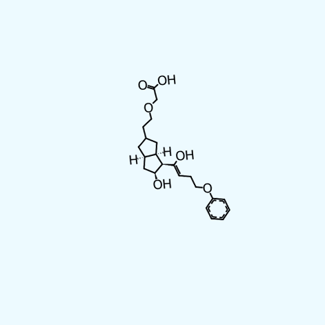 O=C(O)COCCC1C[C@@H]2C[C@H](O)[C@H](C(O)=CCCOc3ccccc3)[C@@H]2C1